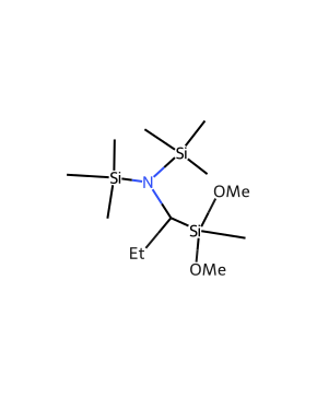 CCC(N([Si](C)(C)C)[Si](C)(C)C)[Si](C)(OC)OC